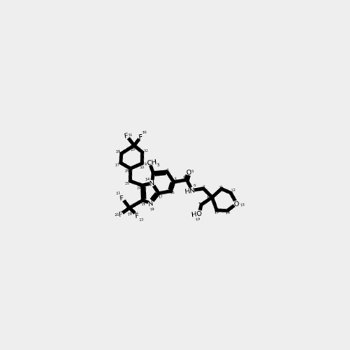 Cc1cc(C(=O)NCC2(CO)CCOCC2)cc2nc(C(F)(F)F)c(CC3CCC(F)(F)CC3)n12